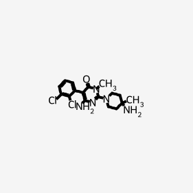 Cn1c(N2CCC(C)(N)CC2)nc(N)c(-c2cccc(Cl)c2Cl)c1=O